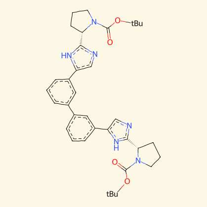 CC(C)(C)OC(=O)N1CCC[C@H]1c1ncc(-c2cccc(-c3cccc(-c4cnc([C@@H]5CCCN5C(=O)OC(C)(C)C)[nH]4)c3)c2)[nH]1